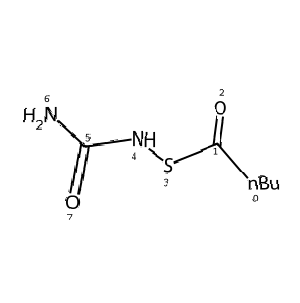 CCCCC(=O)SNC(N)=O